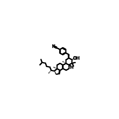 CC(C)CCC[C@@H](C)[C@H]1CC=C2C3=C(CC[C@@]21C)[C@@]1(C)C/C(=C\c2ccc(C#N)cc2)[C@H](O)C(C)(C)[C@@H]1CC3